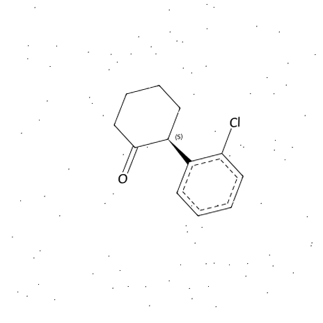 O=C1CCCC[C@H]1c1ccccc1Cl